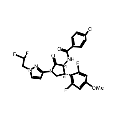 COc1cc(F)c([C@@H]2CN(c3ccn(CC(F)F)n3)C(=O)[C@H]2NC(=O)c2ccc(Cl)cc2)c(F)c1